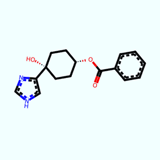 O=C(O[C@H]1CC[C@](O)(c2c[nH]cn2)CC1)c1ccccc1